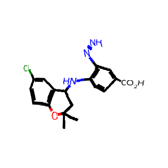 CC1(C)CC(Nc2ccc(C(=O)O)cc2N=N)c2cc(Cl)ccc2O1